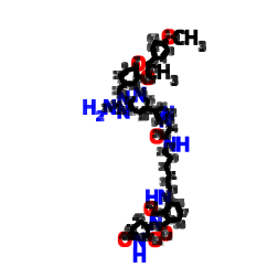 COc1ccc(COc2ccc(Cn3c(N)nc4cc(-c5cnn(CC(=O)NCCCCCCNc6cccc7c6C(=O)N(C6CCC(=O)NC6=O)C7=O)c5)cnc43)cc2OC)cc1